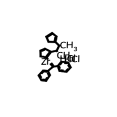 CC(C1=CC=CC1)C(C)C1=[C]([Zr]=[C](c2ccccc2)c2ccccc2)CC=C1.Cl.Cl